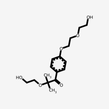 CC(C)(OCCO)C(=O)c1ccc(OCCOCCO)cc1